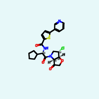 O=C(N[C@H](C(=O)N1C[C@H](Cl)[C@H]2OCC(=O)[C@H]21)C1CCCC1)c1ccc(-c2cccnc2)s1